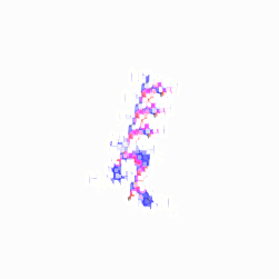 CCC(=O)CN(CCNC(=O)CN(CCNC(=O)CN(CCNSNC(=O)CN(CCNC(=O)CN(CCNC(=O)CN(CCNC)C(=O)Cn1cc(C)c(=O)[nH]c1=O)C(=O)Cn1cc(C)c(=O)[nH]c1=O)C(=O)Cn1cc(C)c(=O)[nH]c1=O)C(=O)Cn1cnc2c(N)ncnc21)C(=O)Cn1cnc2c(N)ncnc21)C(=O)Cn1cnc2c(N)ncnc21